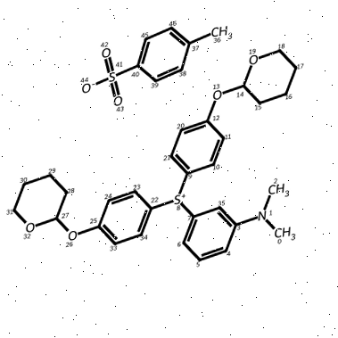 CN(C)c1cccc([S+](c2ccc(OC3CCCCO3)cc2)c2ccc(OC3CCCCO3)cc2)c1.Cc1ccc(S(=O)(=O)[O-])cc1